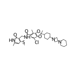 CSc1cc(C)[nH]c(=O)c1CNC(=O)c1cc(Cl)c2c(c1C)OC(C)(C1CCC(N3CC(N4CCCCC4)C3)CC1)O2